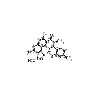 C[C@H]1OCc2c1c(N)nc1cc(F)c(C(=O)N(C)[C@@H]3COCc4nc(C(F)(F)F)ccc43)cc21